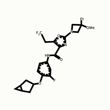 CCC1(OC)CN(c2nc(C(=O)Nc3ccc(OC4CC5CC5C4)c(F)c3)c(CC(F)(F)F)o2)C1